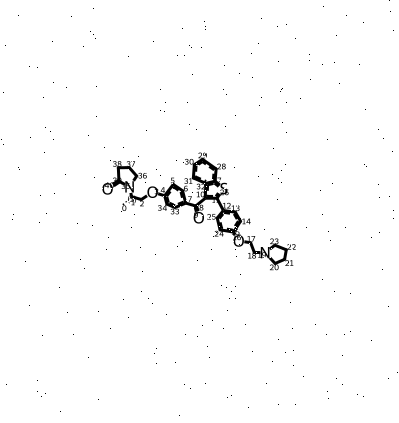 C[C@@H](COc1ccc(C(=O)c2c(-c3ccc(OCCN4CCCC4)cc3)sc3ccccc23)cc1)N1CCCC1=O